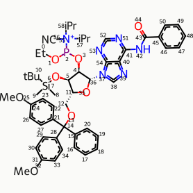 CCOP(O[C@@H]1[C@H](O[Si](C)(C)C(C)(C)C)[C@@H](COC(c2ccccc2)(c2ccc(OC)cc2)c2ccc(OC)cc2)O[C@H]1n1cnc2c(NC(=O)c3ccccc3)ncnc21)[N+](C#N)(C(C)C)C(C)C